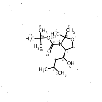 CC(C)CC(O)[C@@H]1COC(C)(C)N1C(=O)OC(C)(C)C